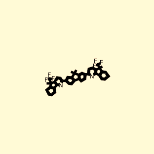 CC1(C)c2cc(-c3ccc4c(n3)-c3ccccc3C4(C)C(F)(F)F)ccc2-c2ccc(-c3ccc4c(n3)-c3ccccc3C4(C)C(F)(F)F)cc21